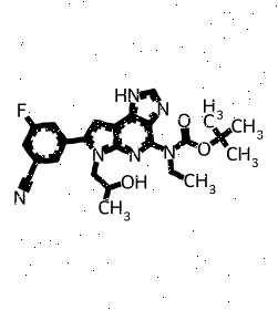 CCN(C(=O)OC(C)(C)C)c1nc2c(cc(-c3cc(F)cc(C#N)c3)n2CC(C)O)c2[nH]cnc12